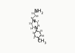 Cc1ccc(N2CCN(CCCN)CC2)cc1